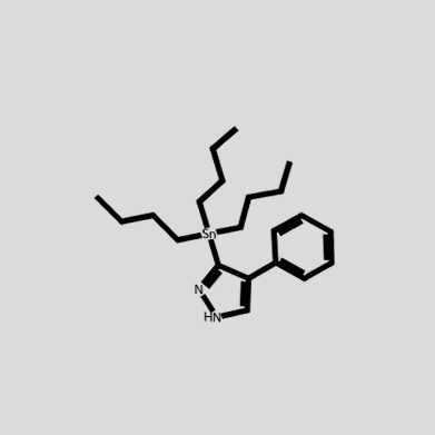 CCC[CH2][Sn]([CH2]CCC)([CH2]CCC)[c]1n[nH]cc1-c1ccccc1